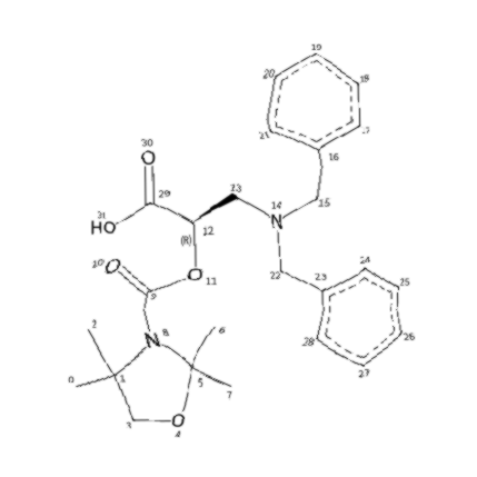 CC1(C)COC(C)(C)N1C(=O)O[C@H](CN(Cc1ccccc1)Cc1ccccc1)C(=O)O